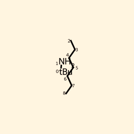 CC(C)(C)N.CCCCCCC